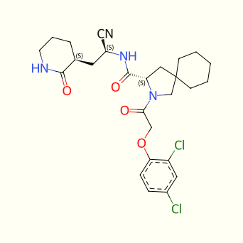 N#C[C@H](C[C@@H]1CCCNC1=O)NC(=O)[C@@H]1CC2(CCCCC2)CN1C(=O)COc1ccc(Cl)cc1Cl